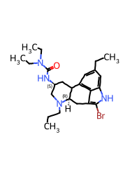 CCCN1C[C@@H](NC(=O)N(CC)CC)CC2c3cc(CC)cc4[nH]c(Br)c(c34)C[C@H]21